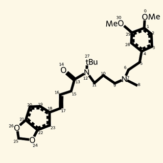 COc1ccc(CCN(C)CCCN(C(=O)C/C=C/c2ccc3c(c2)OCO3)C(C)(C)C)cc1OC